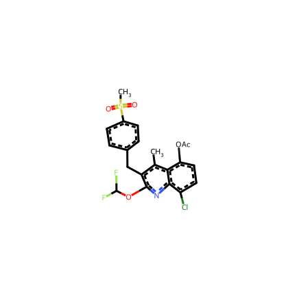 CC(=O)Oc1ccc(Cl)c2nc(OC(F)F)c(Cc3ccc(S(C)(=O)=O)cc3)c(C)c12